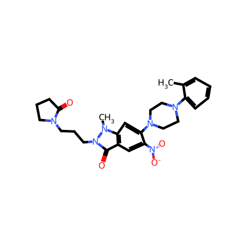 Cc1ccccc1N1CCN(c2cc3c(cc2[N+](=O)[O-])c(=O)n(CCCN2CCCC2=O)n3C)CC1